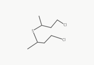 CC(CCCl)SC(C)CCCl